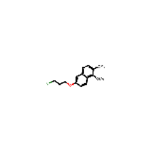 COc1ccc2cc(OCCCCl)ccc2c1OC